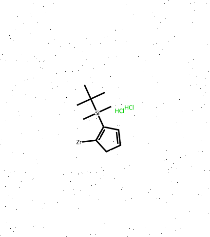 CC(C)(C)[Si](C)(C)C1=[C]([Zr])CC=C1.Cl.Cl